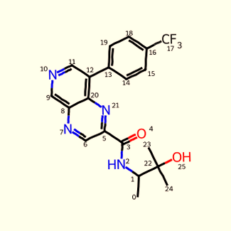 CC(NC(=O)c1cnc2cncc(-c3ccc(C(F)(F)F)cc3)c2n1)C(C)(C)O